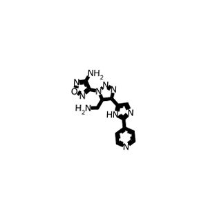 NCC1C(c2cnc(-c3ccncc3)[nH]2)N=NN1c1nonc1N